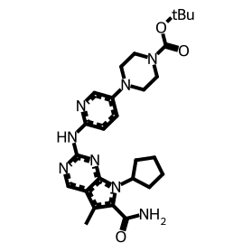 Cc1c(C(N)=O)n(C2CCCC2)c2nc(Nc3ccc(N4CCN(C(=O)OC(C)(C)C)CC4)cn3)ncc12